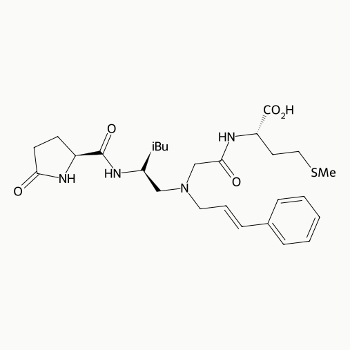 CC[C@H](C)[C@@H](CN(CC=Cc1ccccc1)CC(=O)N[C@@H](CCSC)C(=O)O)NC(=O)[C@@H]1CCC(=O)N1